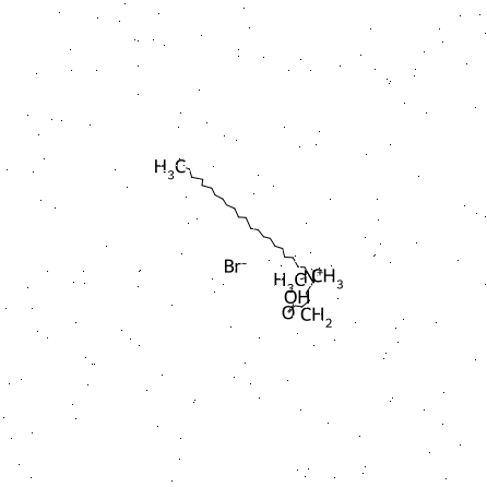 C=C(CCC[N+](C)(C)CCCCCCCCCCCCCCCCCCCCCC)C(=O)O.[Br-]